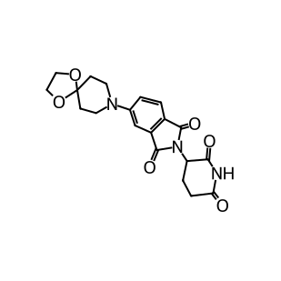 O=C1CCC(N2C(=O)c3ccc(N4CCC5(CC4)OCCO5)cc3C2=O)C(=O)N1